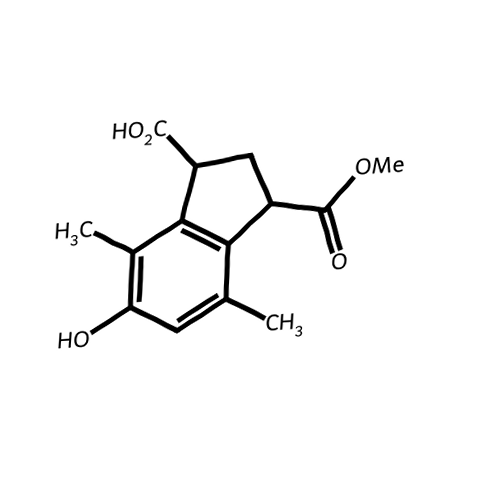 COC(=O)C1CC(C(=O)O)c2c(C)c(O)cc(C)c21